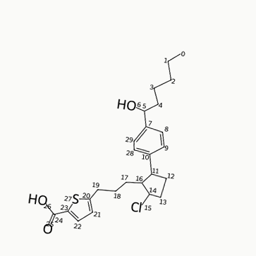 CCCCCC(O)c1ccc(C2CCC(Cl)C2CCCc2ccc(C(=O)O)s2)cc1